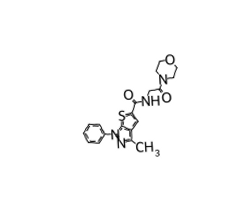 Cc1nn(-c2ccccc2)c2sc(C(=O)NCC(=O)N3CCOCC3)cc12